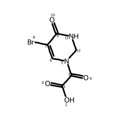 O=C(O)C(=O)N1C=C(Br)C(=O)NC1